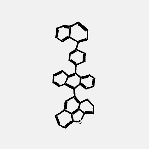 C1=c2sc3cccc4cc(-c5c6ccccc6c(-c6ccc(-c7cccc8ccccc78)cc6)c6ccccc56)c(c2c43)CC1